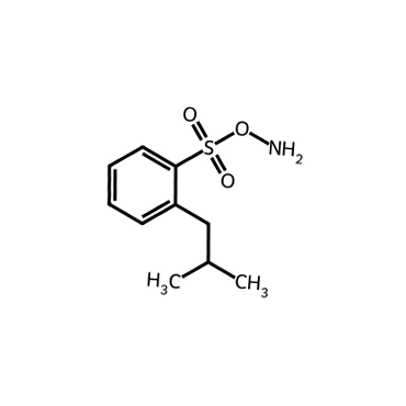 CC(C)Cc1ccccc1S(=O)(=O)ON